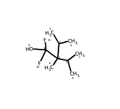 CC(C)C(C)(C(C)C)C(O)(F)F